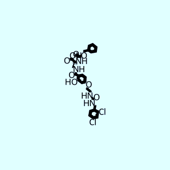 O=C(NCCOc1ccc(C(=O)NC[C@H](NC(=O)OCc2ccccc2)C(=O)O)c(O)c1)NCc1ccc(Cl)cc1Cl